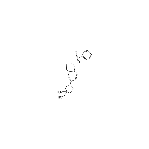 N[C@]1(CO)CC[C@H](c2ccc3c(c2)CC[C@H](CS(=O)(=O)c2ccccc2)C3)C1